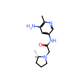 Cc1ncc(NC(=O)CN2CCC[C@@H]2C)cc1N